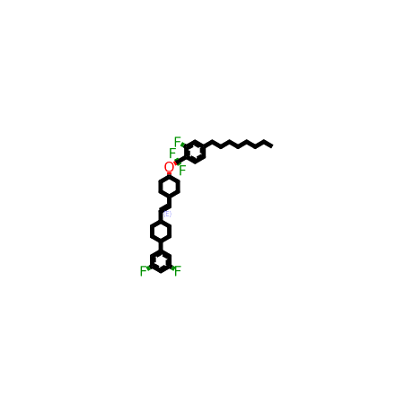 CCCCCCCCc1ccc(C(F)(F)OC2CCC(/C=C/C3CCC(c4cc(F)cc(F)c4)CC3)CC2)c(F)c1